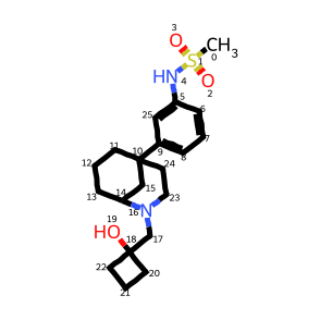 CS(=O)(=O)Nc1cccc(C23CCCC(C2)N(CC2(O)CCC2)CC3)c1